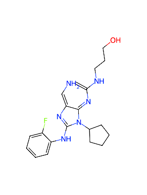 C=C(/N=C1\C(=C/N)N=C(Nc2ccccc2F)N1C1CCCC1)NCCCO